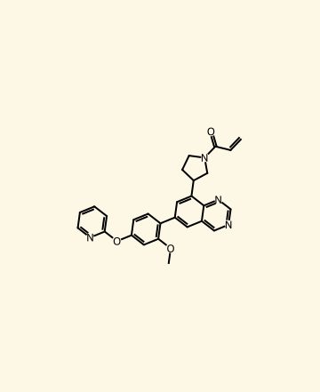 C=CC(=O)N1CCC(c2cc(-c3ccc(Oc4ccccn4)cc3OC)cc3cncnc23)C1